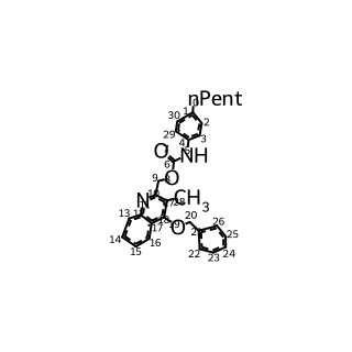 CCCCCc1ccc(NC(=O)OCc2nc3ccccc3c(OCc3ccccc3)c2C)cc1